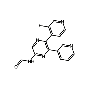 O=CNc1cnc(-c2ccncc2F)c(-c2cccnc2)n1